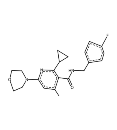 Cc1cc(N2CCOCC2)nc(C2CC2)c1C(=O)NCc1ccc(F)cc1